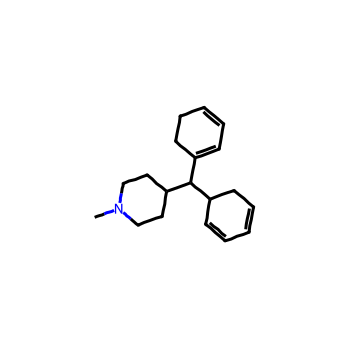 CN1CCC(C(C2=CC=CCC2)C2C=CC=CC2)CC1